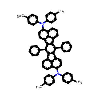 COc1ccc(N(c2ccc(C)cc2)c2ccc3c4c(-c5ccccc5)c5c6cccc7c(N(c8ccc(C)cc8)c8ccc(C)cc8)ccc(c5c(-c5ccccc5)c4c4cccc2c43)c76)cc1